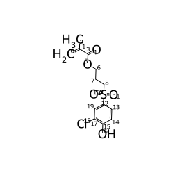 C=C(C)C(=O)OCCCS(=O)(=O)c1ccc(O)c(Cl)c1